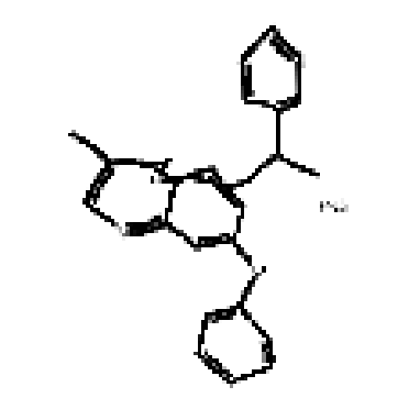 CC1=CN=C2C=C(Oc3ccccc3)C=CC23C1CCN3CC(C)c1ccccc1.Cl